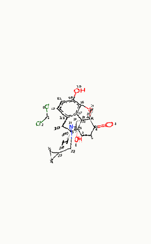 ClCCl.O=C1CC[C@@]2(O)[C@H]3Cc4ccc(O)c5c4[C@@]2(CCN3CC2CC2)[C@H]1O5